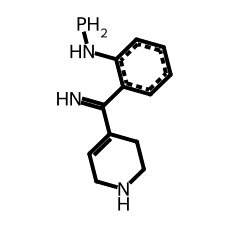 N=C(C1=CCNCC1)c1ccccc1NP